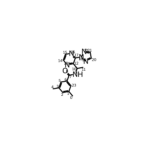 Cc1cc(C)cc(C(=O)NC(C)c2nccnc2-n2nccn2)c1